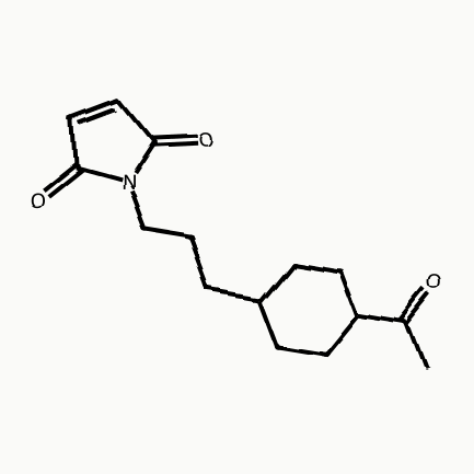 CC(=O)C1CCC(CCCN2C(=O)C=CC2=O)CC1